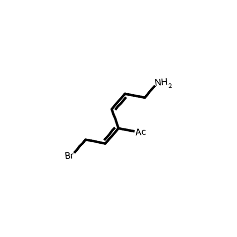 CC(=O)C(/C=C\CN)=C/CBr